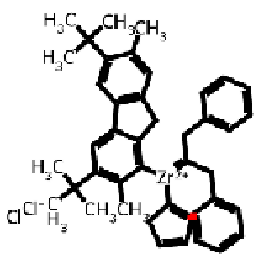 Cc1cc2c(cc1C(C)(C)C)-c1cc(C(C)(C)C)c(C)[c]([Zr+2]([C]3=CC=CC3)=[C](Cc3ccccc3)Cc3ccccc3)c1C2.[Cl-].[Cl-]